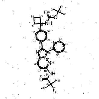 CC(C)(C)OC(=O)NC1(c2ccc(-c3nc4ccc(NC(=O)C(F)(F)F)nn4c3-c3ccccc3)cc2)CCC1